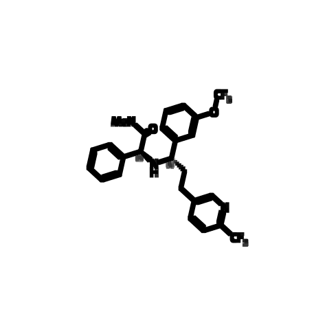 CNC(=O)[C@@H](N[C@@H](CCc1ccc(C(F)(F)F)nc1)c1cccc(OC(F)(F)F)c1)c1ccccc1